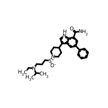 CCN(CCC[S+]([O-])N1CCC(c2c[nH]c3c(C(N)=O)cc(-c4ccccc4)cc23)CC1)C(C)C